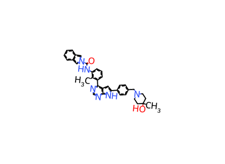 Cc1c(NC(=O)n2cc3ccccc3c2)cccc1-c1ncnc2[nH]c(-c3ccc(CN4CCC(C)(O)CC4)cc3)cc12